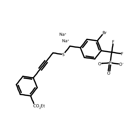 CCOC(=O)c1cccc(C#CCSCc2ccc(C(F)(F)P(=O)([O-])[O-])c(Br)c2)c1.[Na+].[Na+]